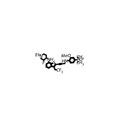 CCN1CC[C@@H](Nc2cccc3c(CC(F)(F)F)c(C#CCNc4ccc(P(C)(C)=O)cc4OC)sc23)[C@@H](F)C1